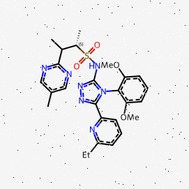 CCc1cccc(-c2nnc(NS(=O)(=O)[C@@H](C)C(C)c3ncc(C)cn3)n2-c2c(OC)cccc2OC)n1